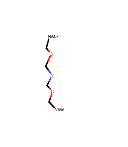 CNCOC[N]COCNC